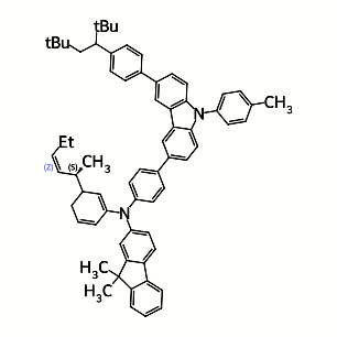 CC/C=C\[C@@H](C)C1C=C(N(c2ccc(-c3ccc4c(c3)c3cc(-c5ccc(C(CC(C)(C)C)C(C)(C)C)cc5)ccc3n4-c3ccc(C)cc3)cc2)c2ccc3c(c2)C(C)(C)c2ccccc2-3)C=CC1